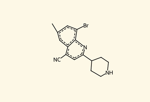 Cc1cc(Br)c2nc(C3CCNCC3)cc(C#N)c2c1